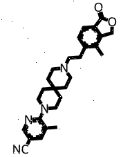 Cc1cc(C#N)cnc1N1CCC2(CCN(CCc3ccc4c(c3C)COC4=O)CC2)CC1